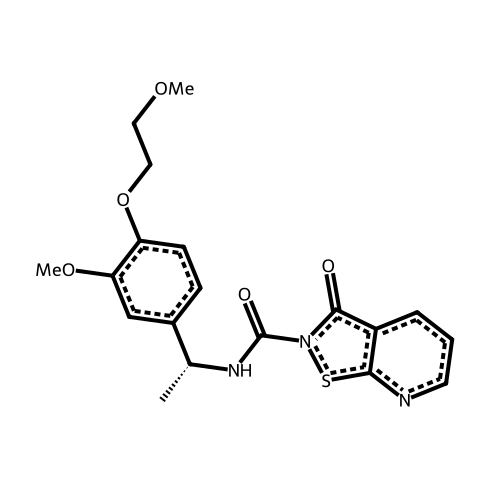 COCCOc1ccc([C@@H](C)NC(=O)n2sc3ncccc3c2=O)cc1OC